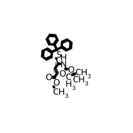 CCOC(=O)/C=C/[C@@H](CSC(c1ccccc1)(c1ccccc1)c1ccccc1)NC(=O)OC(C)(C)C